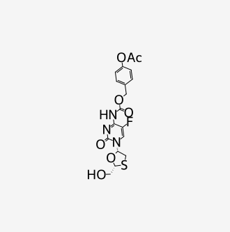 CC(=O)Oc1ccc(COC(=O)Nc2nc(=O)n([C@@H]3CS[C@H](CO)O3)cc2F)cc1